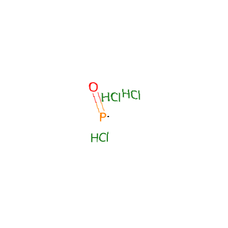 Cl.Cl.Cl.O=[P]